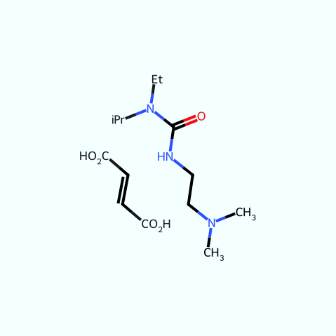 CCN(C(=O)NCCN(C)C)C(C)C.O=C(O)C=CC(=O)O